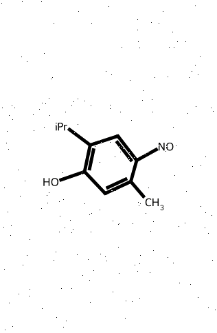 Cc1cc(O)c(C(C)C)cc1N=O